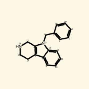 c1ccc(Cn2c3c(c4ccccc42)CCNC3)cc1